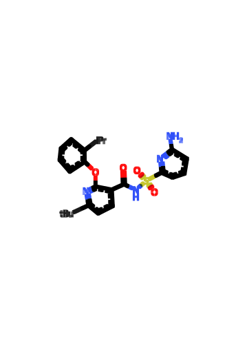 CC(C)c1ccccc1Oc1nc(C(C)(C)C)ccc1C(=O)NS(=O)(=O)c1cccc(N)n1